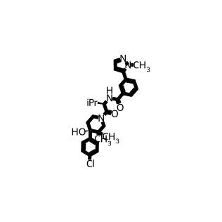 CC(C)[C@@H](NC(=O)c1cccc(-c2ccnn2C)c1)C(=O)N1CC[C@](O)(c2ccc(Cl)cc2)C(C)(C)C1